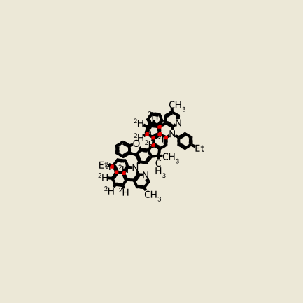 [2H]c1c([2H])c([2H])c(-c2cc(C)cnc2N(c2ccc(CC)cc2)c2cc3c(c4oc5ccccc5c24)-c2c(cc(N(c4ccc(CC)cc4)c4ncc(C)cc4-c4c([2H])c([2H])c([2H])c([2H])c4[2H])c4c2oc2ccccc24)C3(C)C)c([2H])c1[2H]